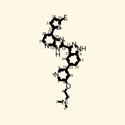 CN(C)CCOc1cncc(-c2ccc3[nH]nc(-c4nc5c(-c6ccc(F)s6)ccnc5[nH]4)c3c2)c1